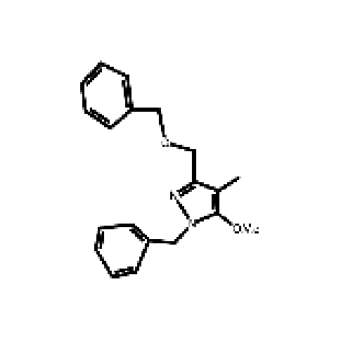 COc1c(I)c(COCc2ccccc2)nn1Cc1ccccc1